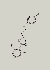 Fc1cccc(F)c1C1=NC(CCOc2ccc(I)cc2)CO1